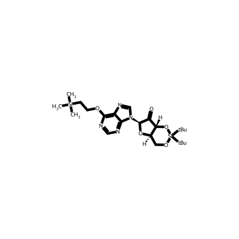 CC(C)(C)[Si]1(C(C)(C)C)OC[C@H]2O[C@@H](n3cnc4c(OCC[Si](C)(C)C)ncnc43)C(=O)[C@@H]2O1